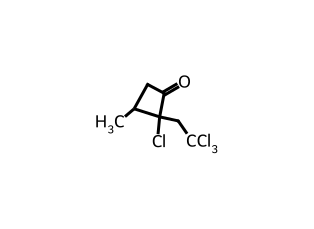 CC1CC(=O)C1(Cl)CC(Cl)(Cl)Cl